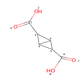 O=C(O)C1C2C(C(=O)O)C12